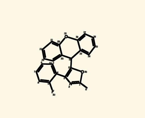 Cc1nc(-c2ccccc2F)c(C2c3ccccc3Oc3ccccc32)o1